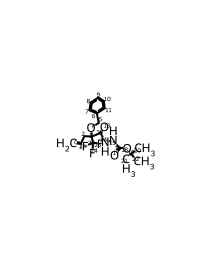 C=CCC(OCc1ccccc1)(C(=O)NNC(=O)OC(C)(C)C)C(F)(F)F